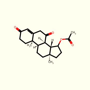 CC(=O)OC1CC[C@@]2(C)CC[C@@H]3[C@@H](C(=O)CC4=CC(=O)CC[C@@]43C)[C@H]12